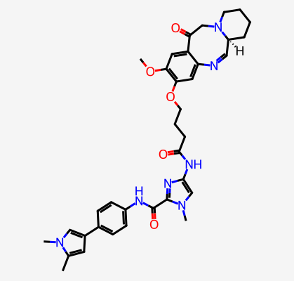 COc1cc2c(cc1OCCCC(=O)Nc1cn(C)c(C(=O)Nc3ccc(-c4cc(C)n(C)c4)cc3)n1)/N=C\[C@@H]1CCCCN1CC2=O